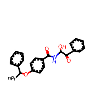 CCCC(Oc1ccc(C(=O)NC(O)C(=O)c2ccccc2)cc1)c1ccccc1